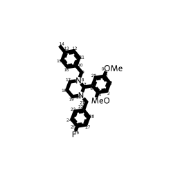 COc1ccc(OC)c(C2N(Cc3ccc(C)cc3)CCCN2Cc2ccc(F)cc2)c1